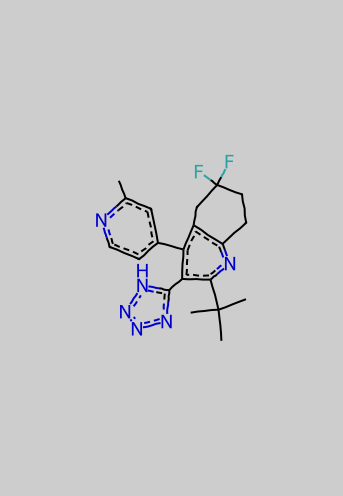 Cc1cc(-c2c3c(nc(C(C)(C)C)c2-c2nnn[nH]2)CCC(F)(F)C3)ccn1